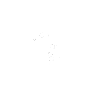 COc1cccc([C@@H](C)NCCOc2cc(-c3ccc4nc(C(=O)O)cc(OC)c4c3)cc(C(F)(F)F)c2)c1